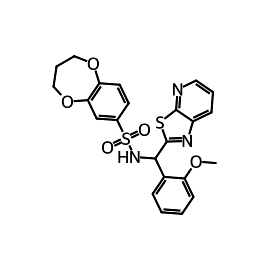 COc1ccccc1C(NS(=O)(=O)c1ccc2c(c1)OCCCO2)c1nc2cccnc2s1